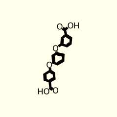 O=C(O)c1ccc(Oc2cccc(Oc3cccc(C(=O)O)c3)c2)cc1